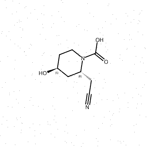 N#CC[C@@H]1C[C@@H](O)CCN1C(=O)O